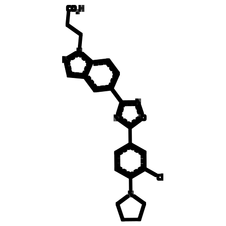 O=C(O)CCn1ncc2cc(-c3noc(-c4ccc(N5CCCC5)c(Cl)c4)n3)ccc21